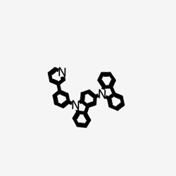 c1cncc(-c2cccc(-n3c4ccccc4c4cc(-n5c6ccccc6c6ccccc65)ccc43)c2)c1